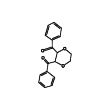 O=C(c1ccccc1)C1OCCOC1C(=O)c1ccccc1